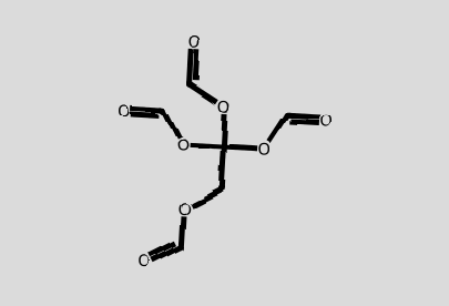 O=COCC(OC=O)(OC=O)OC=O